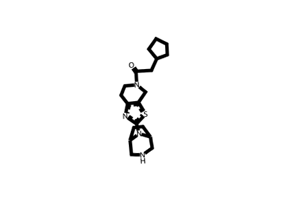 O=C(CC1CCCC1)N1CCc2nc(N3C4CCC3CNC4)sc2C1